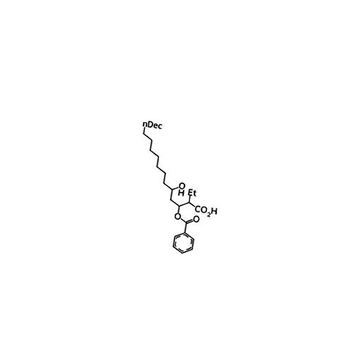 CCCCCCCCCCCCCCCCCC(O)CC(OC(=O)c1ccccc1)C(CC)C(=O)O